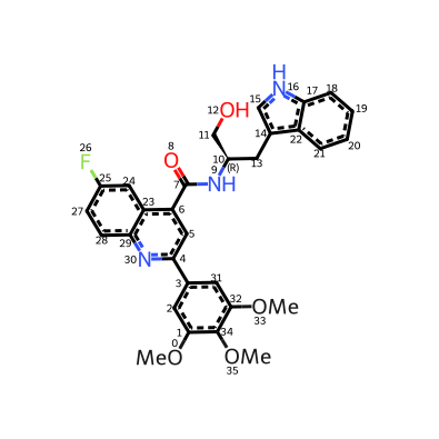 COc1cc(-c2cc(C(=O)N[C@@H](CO)Cc3c[nH]c4ccccc34)c3cc(F)ccc3n2)cc(OC)c1OC